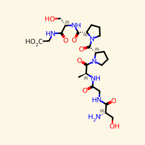 C[C@H](NC(=O)CNC(=O)[C@@H](N)CO)C(=O)N1CCC[C@H]1C(=O)N1CCC[C@H]1C(=O)N[C@@H](CO)C(=O)NCC(=O)O